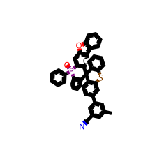 Cc1cc(C#N)cc(-c2ccc3c(c2)Sc2ccccc2C32c3ccccc3P(=O)(c3ccccc3)c3cc4oc5ccccc5c4cc32)c1